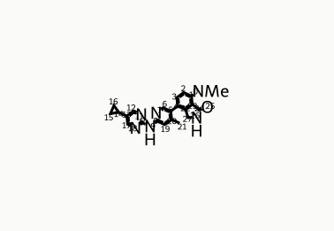 CNc1ccc(-c2cnc(Nc3ncc(C4CC4)cn3)cc2C)c2c1C(=O)NC2